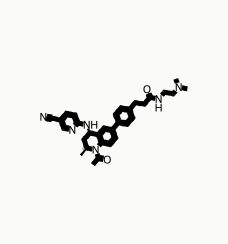 CC(=O)N1c2ccc(-c3ccc(CCC(=O)NCCN(C)C)cc3)cc2[C@H](Nc2ccc(C#N)cn2)C[C@@H]1C